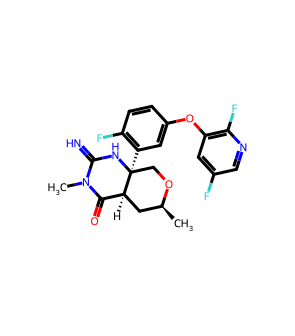 C[C@H]1C[C@H]2C(=O)N(C)C(=N)N[C@@]2(c2cc(Oc3cc(F)cnc3F)ccc2F)CO1